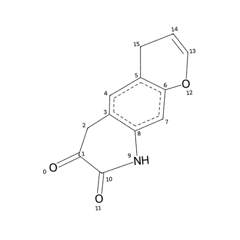 O=C1Cc2cc3c(cc2NC1=O)OC=CC3